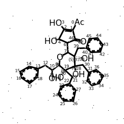 CC(=O)C1=C(O)C(O)C(C2O[C@H](C(O)Cc3ccccc3)[C@](O)(Cc3ccccc3)[C@@](O)(Cc3ccccc3)[C@]2(O)Cc2ccccc2)C1=O